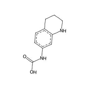 O=C(O)Nc1ccc2c(c1)NCCC2